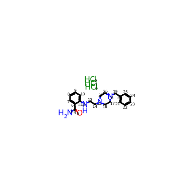 Cl.Cl.Cl.NC(=O)c1ccccc1NCCN1CCN(Cc2ccccc2)CC1